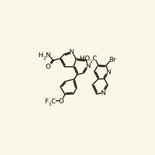 NC(=O)c1cnc2cncc(-c3ccc(OC(F)(F)F)cc3)c2c1.O=C(O)c1cc2ccncc2nc1Br